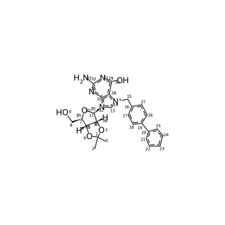 CC1(C)O[C@@H]2[C@H](O1)[C@@H](CO)O[C@H]2n1c[n+](Cc2ccc(-c3ccccc3)cc2)c2c(O)nc(N)nc21